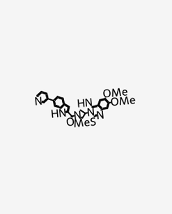 COc1cc2nc(SC)n(C3CN(C(=O)c4cc5ccc(-c6cccnc6)cc5[nH]4)C3)c(=N)c2cc1OC